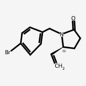 C=C[C@@H]1CCC(=O)N1Cc1ccc(Br)cc1